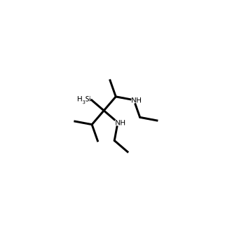 CCNC(C)C([SiH3])(NCC)C(C)C